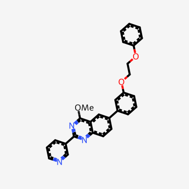 COc1nc(-c2cccnc2)nc2ccc(-c3cccc(OCCOc4ccccc4)c3)cc12